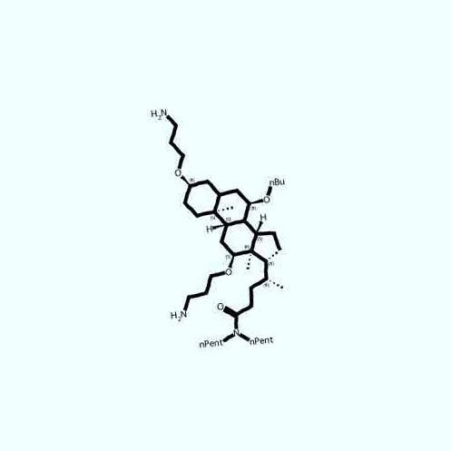 CCCCCN(CCCCC)C(=O)CC[C@@H](C)[C@H]1CC[C@H]2C3[C@H](OCCCC)CC4C[C@H](OCCCN)CC[C@]4(C)[C@H]3C[C@H](OCCCN)[C@]12C